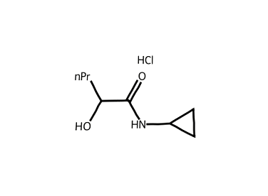 CCCC(O)C(=O)NC1CC1.Cl